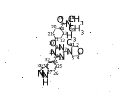 CC1COCCN1c1nc(OC2CCC(C(=O)N(C)C)CC2)nc(-c2ccc3[nH]ncc3c2)n1